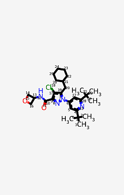 CC(C)(C)c1cc(-n2nc(C(=O)NC3COC3)c(Cl)c2CC2CCCCC2)cc(C(C)(C)C)n1